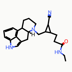 CCNC(=O)CCC1C(C#N)C1CN1CCCC2c3cccc4[nH]cc(c34)C[C@H]21